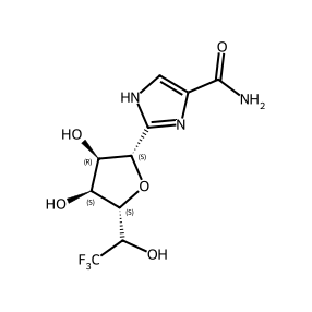 NC(=O)c1c[nH]c([C@@H]2O[C@H](C(O)C(F)(F)F)[C@@H](O)[C@H]2O)n1